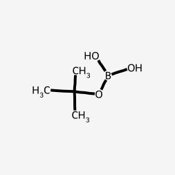 CC(C)(C)OB(O)O